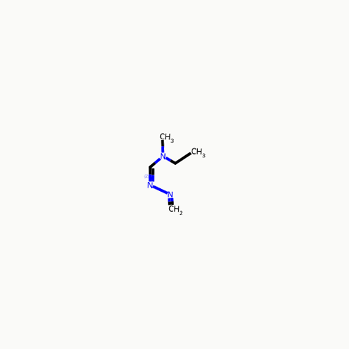 C=N/N=C\N(C)CC